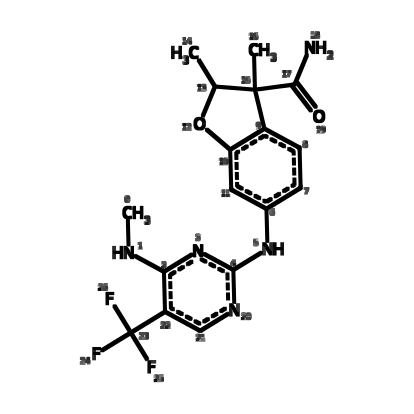 CNc1nc(Nc2ccc3c(c2)OC(C)C3(C)C(N)=O)ncc1C(F)(F)F